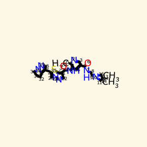 Cc1ncc(C(=O)NCCN2CC(C)(C)C2)cc1NC(=O)c1cnn2cc(-c3cnn4c3CCC4)sc12